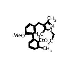 CCOC(=O)Cn1nc(C)c(Cc2ccc(OC)c(-c3cccc(C)c3)c2)c1C